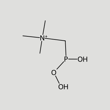 C[N+](C)(C)CP(O)OO